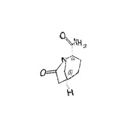 NC(=O)[C@@H]1CC[C@H]2CC(=O)N1C2